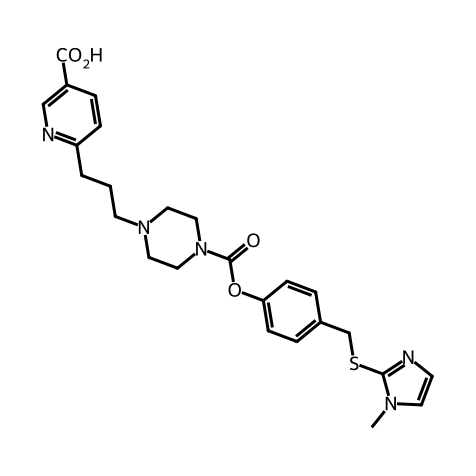 Cn1ccnc1SCc1ccc(OC(=O)N2CCN(CCCc3ccc(C(=O)O)cn3)CC2)cc1